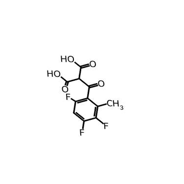 Cc1c(F)c(F)cc(F)c1C(=O)C(C(=O)O)C(=O)O